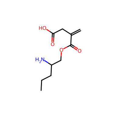 C=C(CC(=O)O)C(=O)OCC(N)CCC